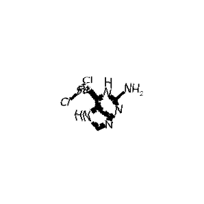 Nc1nc2nc[nH]c2c(=[Se])[nH]1.[Cl][Pt][Cl]